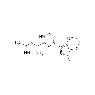 Cc1sc(C2=CCNC(C(N)CC(=N)C(F)(F)F)=C2)c2c1OCCO2